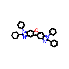 C1=CC(c2nc3cc4c(cc3n2-c2ccccc2)oc2cc3c(cc24)nc(-c2ccccc2)n3-c2ccccc2)=CCC1